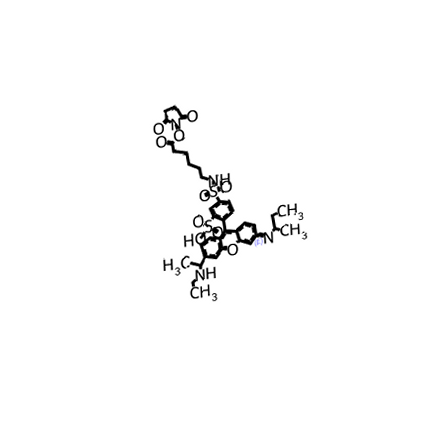 CCNC(C)c1ccc2c(-c3ccc(S(=O)(=O)NCCCCCC(=O)ON4C(=O)CCC4=O)cc3S(=O)(=O)O)c3cc/c(=N\C(C)CC)cc-3oc2c1